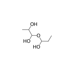 CCC(O)OC(O)C(C)O